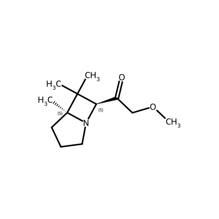 COCC(=O)[C@H]1N2CCC[C@@]2(C)C1(C)C